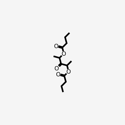 CCCC(=O)OC(C)C(=O)C(C)OC(=O)CCC